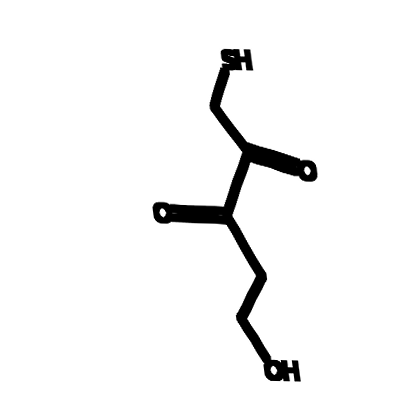 O=C(CS)C(=O)CCO